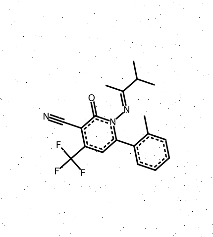 CC(=Nn1c(-c2ccccc2C)cc(C(F)(F)F)c(C#N)c1=O)C(C)C